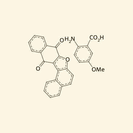 COc1ccc(N)c(C(=O)O)c1.O=C1c2ccccc2C(=O)c2c1oc1ccc3ccccc3c21